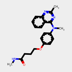 CNC(=O)CCCOc1ccc(N(C)c2nc(C)nc3ccccc23)cc1